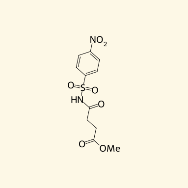 COC(=O)CCC(=O)NS(=O)(=O)c1ccc([N+](=O)[O-])cc1